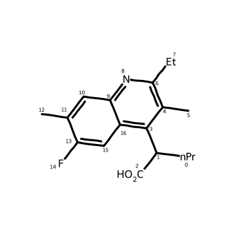 CCCC(C(=O)O)c1c(C)c(CC)nc2cc(C)c(F)cc12